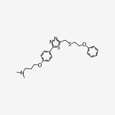 CN(C)CCCOc1ccc(-c2nnc(CSCCOc3ccccc3)s2)cc1